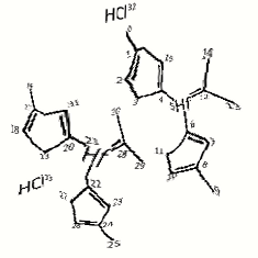 CC1=CC[C]([Hf]([C]2=CC(C)=CC2)=[C](C)C)=C1.CC1=CC[C]([Hf]([C]2=CC(C)=CC2)=[C](C)C)=C1.Cl.Cl